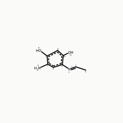 C/C=N/c1cc(N)c(O)cc1O